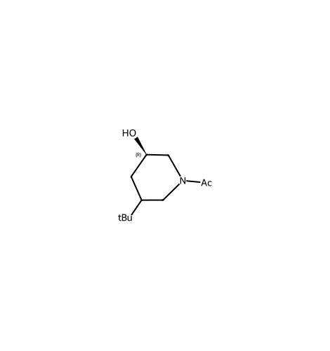 CC(=O)N1CC(C(C)(C)C)C[C@@H](O)C1